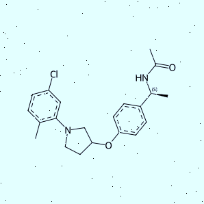 CC(=O)N[C@@H](C)c1ccc(OC2CCN(c3cc(Cl)ccc3C)C2)cc1